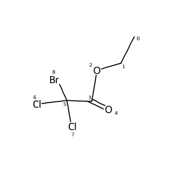 CCOC(=O)C(Cl)(Cl)Br